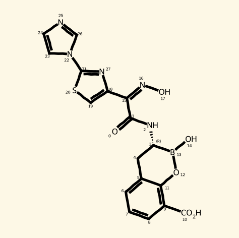 O=C(N[C@H]1Cc2cccc(C(=O)O)c2OB1O)C(=NO)c1csc(-n2ccnc2)n1